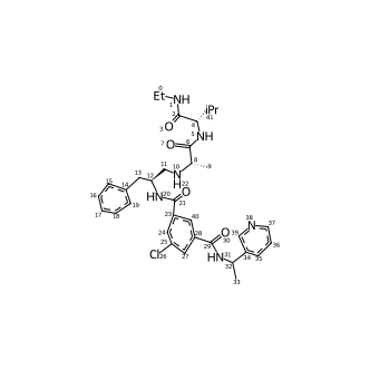 CCNC(=O)[C@@H](NC(=O)[C@H](C)NC[C@H](Cc1ccccc1)NC(=O)c1cc(Cl)cc(C(=O)NC(C)c2cccnc2)c1)C(C)C